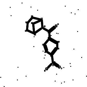 O=C(c1ccc([N+](=O)[O-])cc1)N1C2CCCC1C2